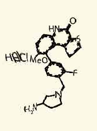 COc1ccc2[nH]c(=O)c3sccc3c2c1-c1ccc(CN2CCC(N)C2)c(F)c1.Cl.Cl